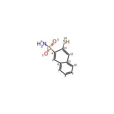 NS(=O)(=O)c1cc2ccccc2cc1S